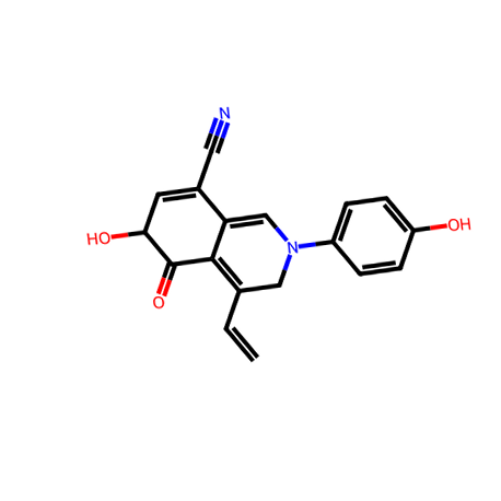 C=CC1=C2C(=O)C(O)C=C(C#N)C2=CN(c2ccc(O)cc2)C1